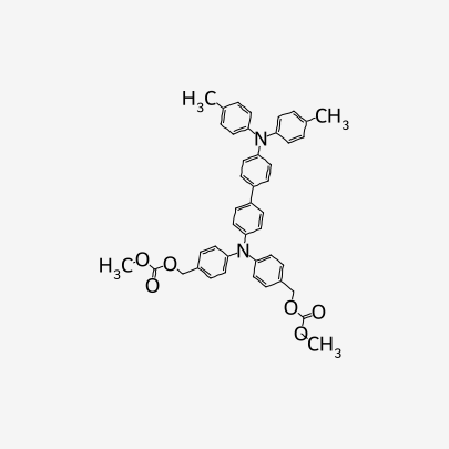 COC(=O)OCc1ccc(N(c2ccc(COC(=O)OC)cc2)c2ccc(-c3ccc(N(c4ccc(C)cc4)c4ccc(C)cc4)cc3)cc2)cc1